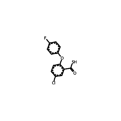 O=C(S)c1cc(Cl)ccc1Oc1ccc(F)cc1